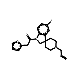 C=CCN1CCC2(CC1)CN(C(=O)Cc1cccs1)c1ccc(F)cc12